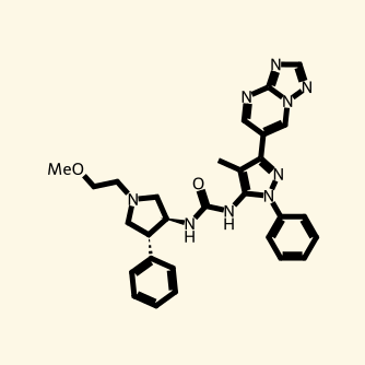 COCCN1C[C@@H](NC(=O)Nc2c(C)c(-c3cnc4ncnn4c3)nn2-c2ccccc2)[C@H](c2ccccc2)C1